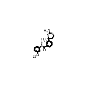 CCOc1cccc(NC(=O)c2cccc(C3(C)CCSC(N)=N3)c2)c1